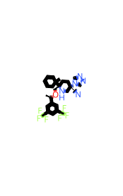 C[C@@H](OC[C@@]1(C2(C)C=CC=CC2)CC[C@@](C#N)(n2cnnc2)CN1)c1cc(C(F)(F)F)cc(C(F)(F)F)c1